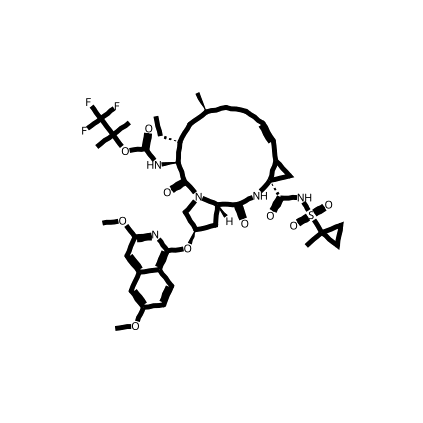 CC[C@@H]1C[C@@H](C)CC/C=C\C2C[C@@]2(C(=O)NS(=O)(=O)C2(C)CC2)NC(=O)[C@@H]2C[C@@H](Oc3nc(OC)cc4cc(OC)ccc34)CN2C(=O)[C@H]1NC(=O)OC(C)(C)C(F)(F)F